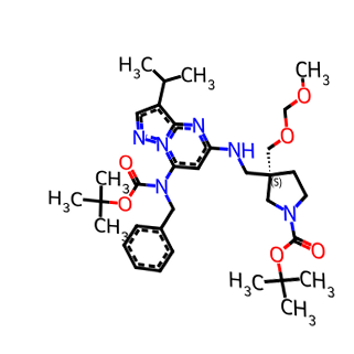 COCOC[C@]1(CNc2cc(N(Cc3ccccc3)C(=O)OC(C)(C)C)n3ncc(C(C)C)c3n2)CCN(C(=O)OC(C)(C)C)C1